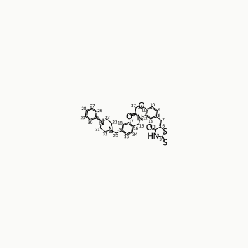 O=C1NC(=S)SC1=Cc1ccc2c(c1)N(Cc1ccc(CN3CCN(c4ccccc4)CC3)cc1)C(=O)CO2